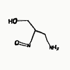 NCC(CO)N=O